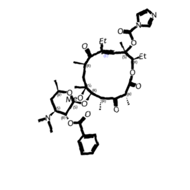 CC/C1=C\[C@](C)(OC(=O)n2ccnc2)[C@@H](CC)OC(=O)[C@H](C)C(=O)[C@H](C)[C@@H](O[C@@H]2O[C@H](C)C[C@H](N(C)C)[C@H]2OC(=O)c2ccccc2)[C@@](C)(OC)C[C@@H](C)C1=O